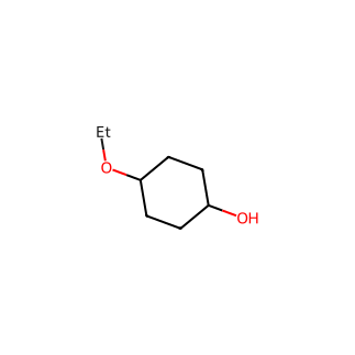 CCOC1CCC(O)CC1